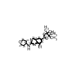 CCc1cc(B2OC(C)(C)C(C)(C)O2)cc2cnc(NC3CCOCC3)nc12